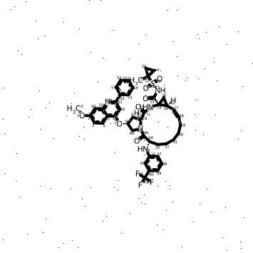 COc1ccc2c(O[C@@H]3C[C@H]4C(=O)N[C@]5(C(=O)NS(=O)(=O)C6(C)CC6)C[C@H]5/C=C\CCCCC[C@H](Nc5cccc(C(F)(F)F)c5)C(=O)N4C3)cc(-c3ccccc3)nc2c1